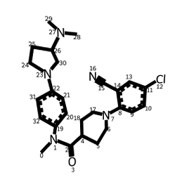 CN(C(=O)C1CCN(c2ccc(Cl)cc2C#N)CC1)c1ccc(N2CCC(N(C)C)C2)cc1